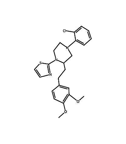 COc1ccc(CCC2CN(c3ccccc3Cl)CCN2c2nccs2)cc1OC